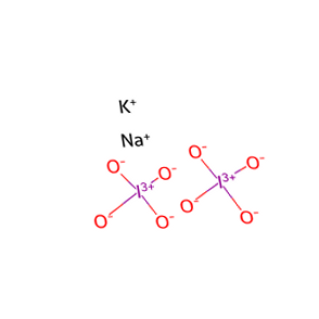 [K+].[Na+].[O-][I+3]([O-])([O-])[O-].[O-][I+3]([O-])([O-])[O-]